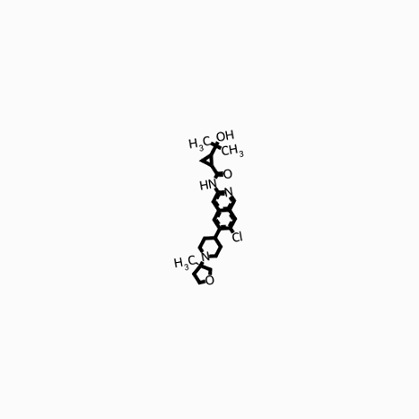 CC(C)(O)C1CC1C(=O)Nc1cc2cc(C3CCN([C@]4(C)CCOC4)CC3)c(Cl)cc2cn1